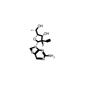 C#CC1(F)[C@@H](O)[C@@H]([C@H](C)O)O[C@H]1n1cnc2cnc(N)nc21